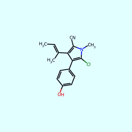 C/C=C(\C)c1c(-c2ccc(O)cc2)c(Cl)n(C)c1C#N